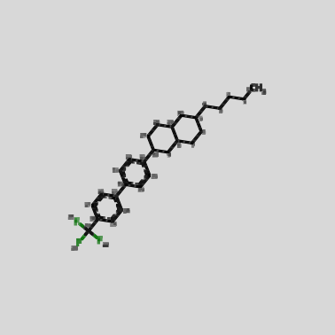 CCCCCC1CCC2CC(c3ccc(-c4ccc(C(F)(F)F)cc4)cc3)CCC2C1